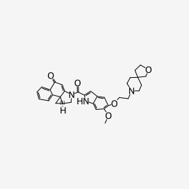 COc1cc2[nH]c(C(=O)N3C[C@H]4CC45C3=CC(=O)c3ccccc35)cc2cc1OCCN1CCC2(CCOC2)CC1